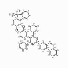 CC1(C)c2ccccc2-c2c1ccc1c2Oc2ccc(-c3ccccc3-c3nc(-c4ccccc4)nc(-c4ccc5c(ccc6ccccc65)c4)n3)cc2O1